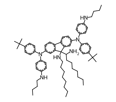 CCCCCCCCNC1(C(N)CCCCCCC)c2cc(N(c3ccc(NCCCC)cc3)c3ccc(C(C)(C)C)cc3)ccc2-c2ccc(N(c3ccc(NCCCC)cc3)c3ccc(C(C)(C)C)cc3)cc21